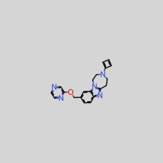 C1=CC(N2CCc3nc4ccc(COc5cnccn5)cc4n3CC2)=C1